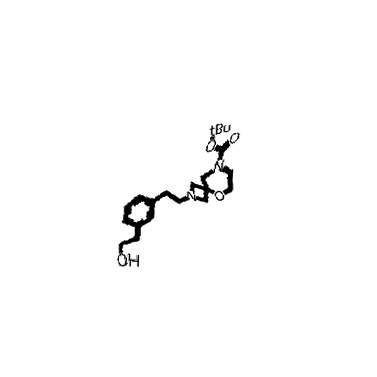 CC(C)(C)OC(=O)N1CCOC2(CN(CCc3cccc(CCO)c3)C2)C1